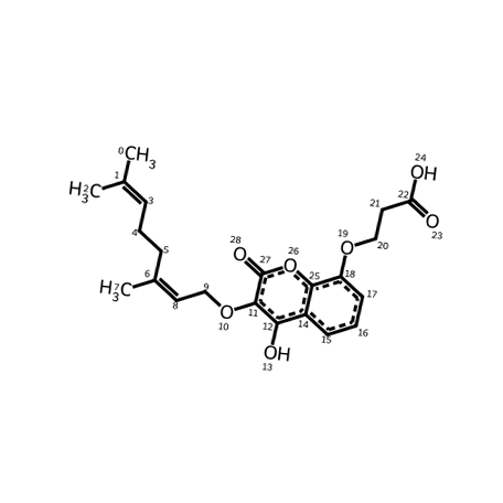 CC(C)=CCCC(C)=CCOc1c(O)c2cccc(OCCC(=O)O)c2oc1=O